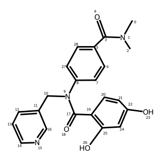 CN(C)C(=O)c1ccc(N(Cc2cccnc2)C(=O)c2ccc(O)cc2O)cc1